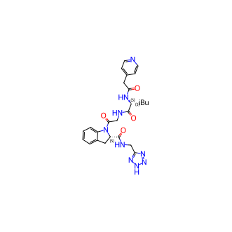 CC[C@H](C)[C@H](NC(=O)Cc1ccncc1)C(=O)NCC(=O)N1c2ccccc2C[C@H]1C(=O)NCc1nn[nH]n1